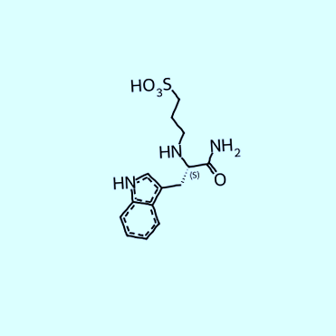 NC(=O)[C@H](Cc1c[nH]c2ccccc12)NCCCS(=O)(=O)O